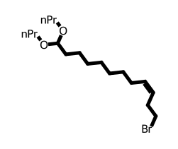 CCCOC(CCCCCCC/C=C\CCBr)OCCC